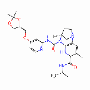 CC1=CC2=C(NC1C(=O)N[C@H](C)C(F)(F)F)N(C(=O)Nc1cc(OC[C@H]3COC(C)(C)O3)ccn1)[C@H]1CCN2C1